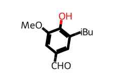 CCC(C)c1cc(C=O)cc(OC)c1O